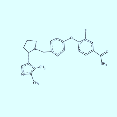 Cc1c(C2CCCN2Cc2ccc(Oc3ccc(C(N)=O)cc3F)cc2)cnn1C